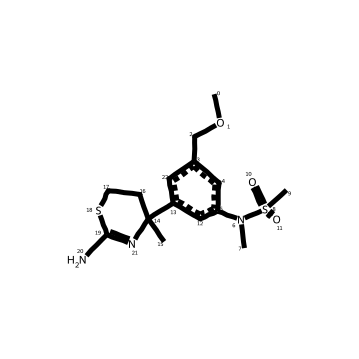 COCc1cc(N(C)S(C)(=O)=O)cc(C2(C)CCSC(N)=N2)c1